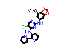 COc1cc(Nc2ncc(Cl)c(Nc3cccnc3-c3ccccn3)n2)cc2c1OCO2